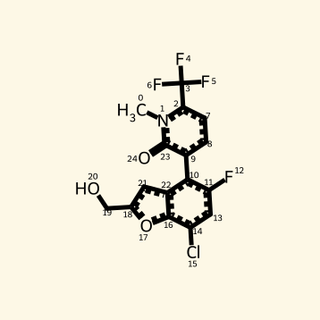 Cn1c(C(F)(F)F)ccc(-c2c(F)cc(Cl)c3oc(CO)cc23)c1=O